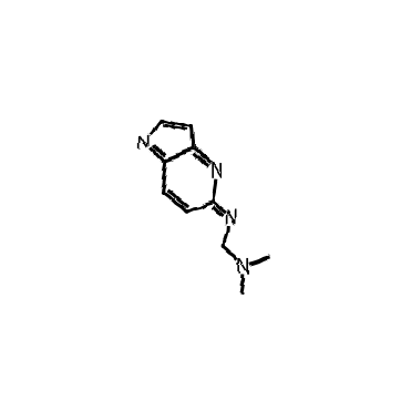 CN(C)CN=C1C=CC2=NC=CC2=N1